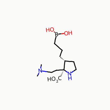 CN(C)CC[C@]1(C(=O)O)NCC[C@H]1CCCB(O)O